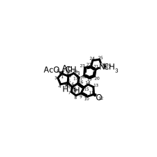 CC(=O)O[C@]1(C(C)=O)CC[C@H]2[C@@H]3CCC4=CC(=O)CCC4=C3[C@@H](c3ccc4c(c3)CCN4C)C[C@@]21C